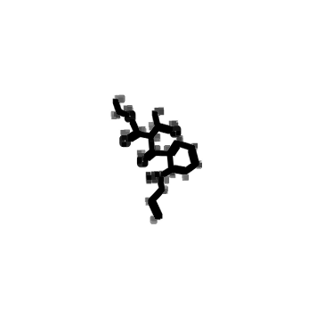 C=CCNc1ccccc1C(=O)C(C(C)=O)C(=O)OCC